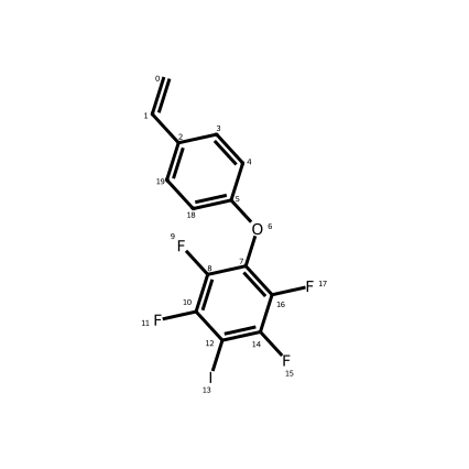 C=Cc1ccc(Oc2c(F)c(F)c(I)c(F)c2F)cc1